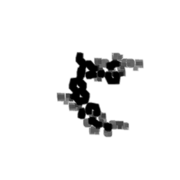 C=C(Nc1ccc2cc(C#CC(=C/C)/C=c3/[nH]c([C@@H]4CC[C@H](C)N4C(=O)[C@@H](NC(=O)O)C(C)C)nc3=C)ccc2c1N)[C@@H]1CC[C@H](C)N1C(=O)[C@@H](NC(=O)OC)C(C)C